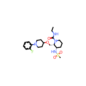 CCNC(=O)N1CCC[C@H](NS(C)(=O)=O)[C@@H]1COC1CCN(c2ccccc2F)CC1